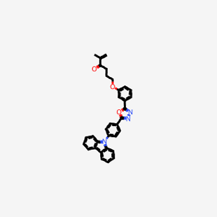 C=C(C)C(=O)CCCOc1cccc(-c2nnc(-c3ccc(-n4c5ccccc5c5ccccc54)cc3)o2)c1